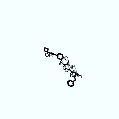 [2H]n1nc(C(=O)N[C@H]2COc3ccc(C#CC4(O)CCC4)cc3N(C)C2=O)nc1Cc1ccccc1